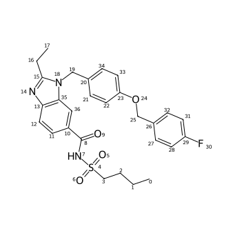 CCCCS(=O)(=O)NC(=O)c1ccc2nc(CC)n(Cc3ccc(OCc4ccc(F)cc4)cc3)c2c1